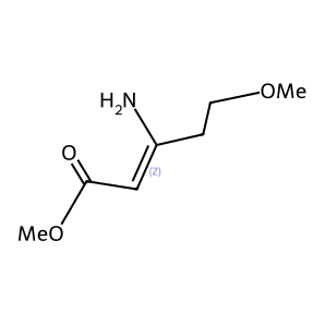 COCC/C(N)=C/C(=O)OC